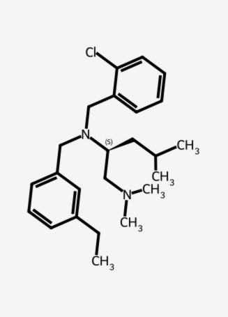 CCc1cccc(CN(Cc2ccccc2Cl)[C@@H](CC(C)C)CN(C)C)c1